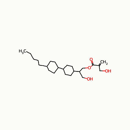 C=C(CO)C(=O)OCC(CO)C1CCC(C2CCC(CCCCC)CC2)CC1